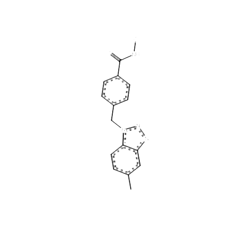 Cc1ccc2c(c1)nnn2Cc1ccc(C(=O)NO)cc1